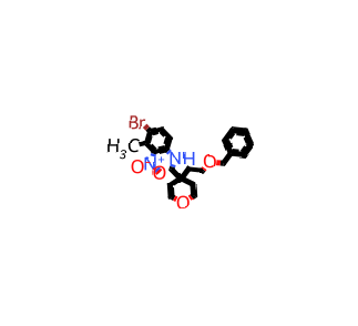 Cc1c(Br)ccc(NCC2(CCOCc3ccccc3)CCOCC2)c1[N+](=O)[O-]